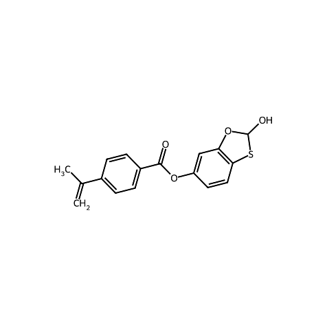 C=C(C)c1ccc(C(=O)Oc2ccc3c(c2)OC(O)S3)cc1